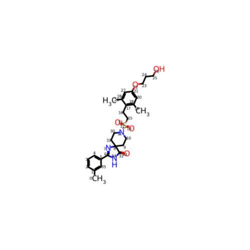 Cc1cccc(C2=NC3(CCN(S(=O)(=O)CCc4c(C)cc(OCCCO)cc4C)CC3)C(=O)N2)c1